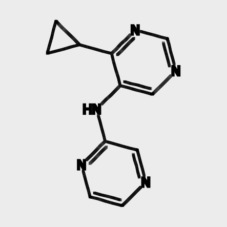 c1cnc(Nc2cncnc2C2CC2)cn1